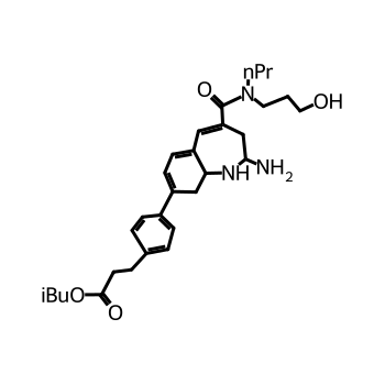 CCCN(CCCO)C(=O)C1=CC2=CC=C(c3ccc(CCC(=O)OCC(C)C)cc3)CC2NC(N)C1